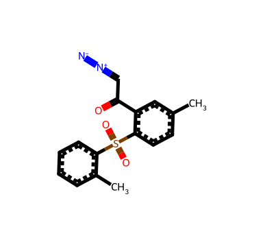 Cc1ccc(S(=O)(=O)c2ccccc2C)c(C(=O)C=[N+]=[N-])c1